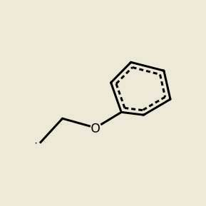 [CH2]COc1ccccc1